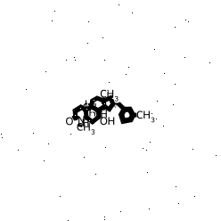 Cc1cccc(C[C@H]2C[C@H]3[C@@H]4[C@@H](O)C[C@H]5N(C)C(=O)C=C[C@]5(C)[C@H]4CC[C@]3(C)C2)c1